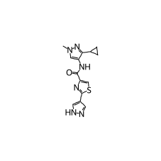 Cn1cc(NC(=O)c2csc(-c3cn[nH]c3)n2)c(C2CC2)n1